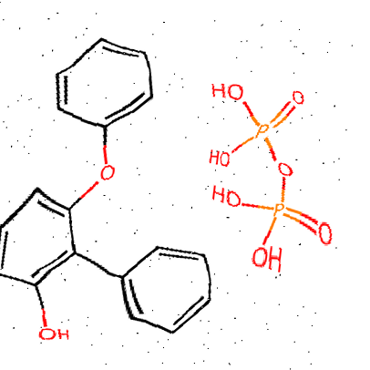 O=P(O)(O)OP(=O)(O)O.Oc1cccc(Oc2ccccc2)c1-c1ccccc1